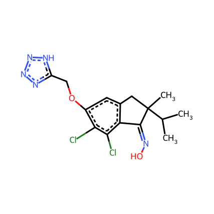 CC(C)C1(C)Cc2cc(OCc3nnn[nH]3)c(Cl)c(Cl)c2C1=NO